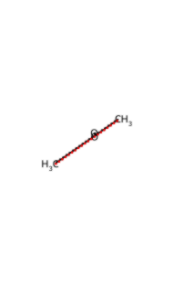 CCCCCCCCCCCCCCCCCCCCCCCCOC(=O)CCCCCCCCCCCCCC